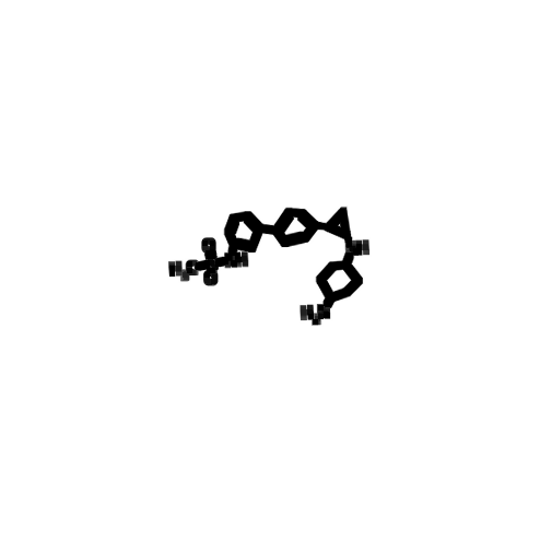 CS(=O)(=O)Nc1cccc(-c2ccc([C@H]3C[C@@H]3NC3CCC(N)CC3)cc2)c1